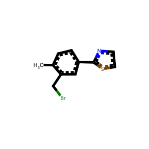 Cc1ccc(-c2nccs2)cc1CBr